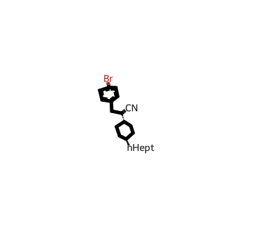 CCCCCCC[C@H]1CC[C@H](C(C#N)Cc2ccc(Br)cc2)CC1